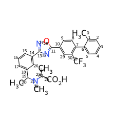 Cc1ccccc1-c1ccc(-c2nc(-c3cccc(C(C)N(C)[C@@H](C)C(=O)O)c3)no2)cc1C(F)(F)F